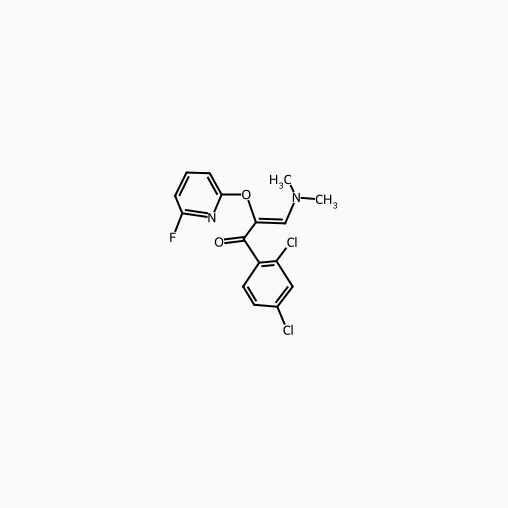 CN(C)/C=C(\Oc1cccc(F)n1)C(=O)c1ccc(Cl)cc1Cl